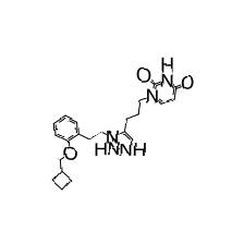 O=c1ccn(CCCC2=CNNN2CCc2ccccc2OCC2CCC2)c(=O)[nH]1